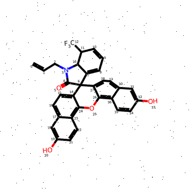 C=CCN1C(=O)C2(C3=CC=CC(C(F)(F)F)C31)c1ccc3cc(O)ccc3c1Oc1c2ccc2cc(O)ccc12